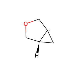 C1OC[C@H]2C[C]12